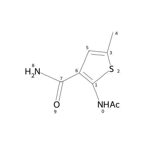 CC(=O)Nc1sc(C)cc1C(N)=O